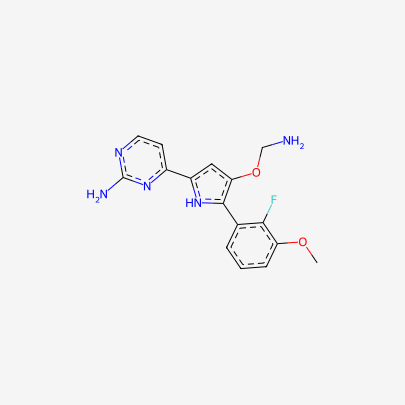 COc1cccc(-c2[nH]c(-c3ccnc(N)n3)cc2OCN)c1F